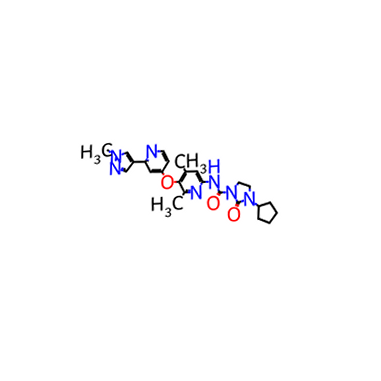 Cc1cc(NC(=O)N2CCN(C3CCCC3)C2=O)nc(C)c1Oc1ccnc(-c2cnn(C)c2)c1